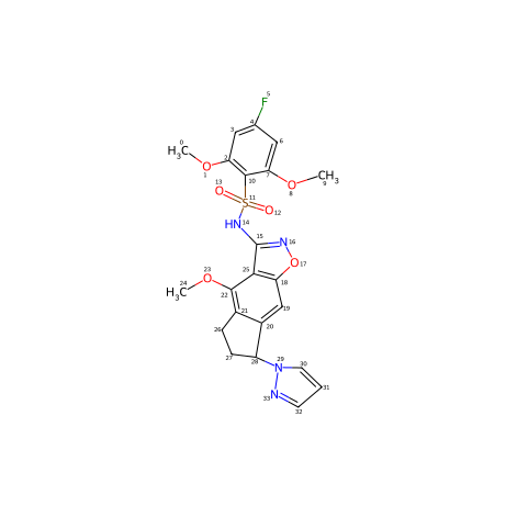 COc1cc(F)cc(OC)c1S(=O)(=O)Nc1noc2cc3c(c(OC)c12)CCC3n1cccn1